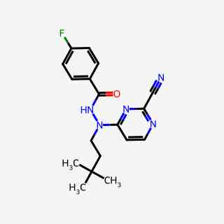 CC(C)(C)CCN(NC(=O)c1ccc(F)cc1)c1ccnc(C#N)n1